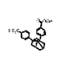 COC(=O)c1ccc(C23CC4CC(CC(c5ccc(C(=O)O)cc5)(C4)C2)C3)cc1